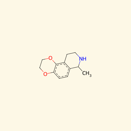 CC1NCCc2c1ccc1c2OCCO1